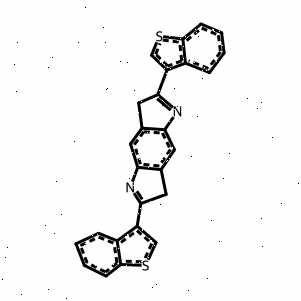 c1ccc2c(C3=Nc4cc5c(cc4C3)N=C(c3csc4ccccc34)C5)csc2c1